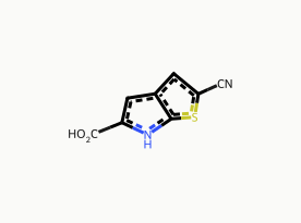 N#Cc1cc2cc(C(=O)O)[nH]c2s1